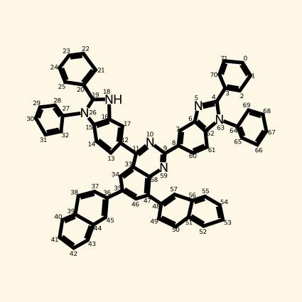 c1ccc(-c2nc3cc(-c4nc(-c5ccc6c(c5)NC(c5ccccc5)N6c5ccccc5)c5cc(-c6ccc7ccccc7c6)cc(-c6ccc7ccccc7c6)c5n4)ccc3n2-c2ccccc2)cc1